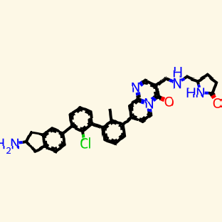 Cc1c(-c2ccn3c(=O)c(CNCC4CCC(=O)N4)cnc3c2)cccc1-c1cccc(-c2ccc3c(c2)CC(N)C3)c1Cl